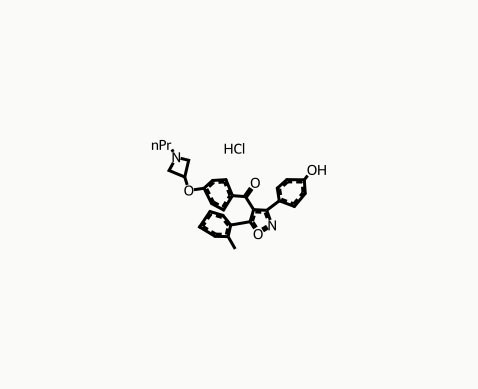 CCCN1CC(Oc2ccc(C(=O)c3c(-c4ccc(O)cc4)noc3-c3ccccc3C)cc2)C1.Cl